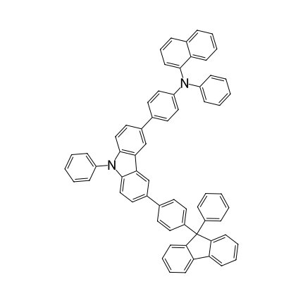 c1ccc(N(c2ccc(-c3ccc4c(c3)c3cc(-c5ccc(C6(c7ccccc7)c7ccccc7-c7ccccc76)cc5)ccc3n4-c3ccccc3)cc2)c2cccc3ccccc23)cc1